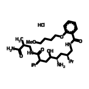 COCCCCOc1ccccc1C(=O)NC[C@H](C[C@H](N)C(O)CC(C(=O)NCC(C)C(N)=O)C(C)C)C(C)C.Cl